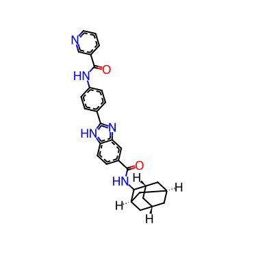 O=C(Nc1ccc(-c2nc3cc(C(=O)NC4[C@H]5C[C@@H]6C[C@@H](C[C@H]4C6)C5)ccc3[nH]2)cc1)c1cccnc1